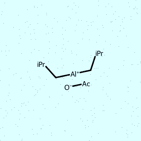 CC(=O)[O-].CC(C)[CH2][Al+][CH2]C(C)C